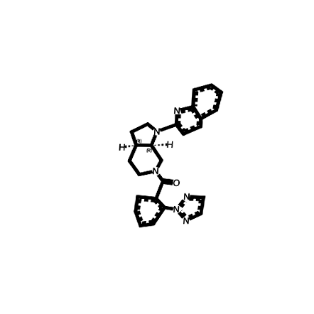 O=C(c1ccccc1-n1nccn1)N1CC[C@H]2CCN(c3ccc4ccccc4n3)[C@H]2C1